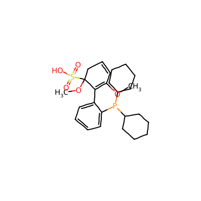 COC1=C(c2ccccc2P(C2CCCCC2)C2CCCCC2)C(OC)(S(=O)(=O)O)CC=C1